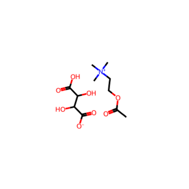 CC(=O)OCC[N+](C)(C)C.O=C([O-])C(O)C(O)C(=O)O